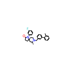 Cc1ccccc1-c1cccc(CN2CC[C@]3(CCC(=O)N3c3cccc(F)c3)C[C@@H]2C)c1